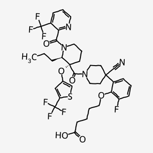 CCC[C@H]1N(C(=O)c2ncccc2C(F)(F)F)CCC[C@@]1(Oc1csc(C(F)(F)F)c1)C(=O)N1CCC(C#N)(c2cccc(F)c2OCCCCC(=O)O)CC1